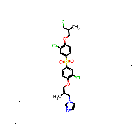 CC(CCl)COc1ccc(S(=O)(=O)c2ccc(OCC(C)Cn3ccnc3)c(Cl)c2)cc1Cl